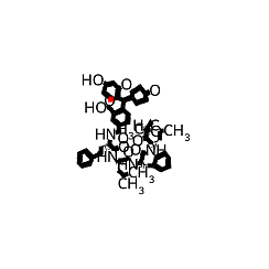 CC(C)C[C@H](NC(=O)[C@H](CCc1ccccc1)NC(=O)c1ccc(-c2c3ccc(=O)cc-3oc3cc(O)ccc23)c(C(=O)O)c1)C(=O)N[C@@H](Cc1ccccc1)C(=O)N[C@@H](CC(C)C)C(=O)[C@@]1(C)CO1